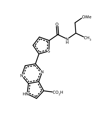 COCC(C)NC(=O)c1ccc(-c2cnc3[nH]cc(C(=O)O)c3n2)s1